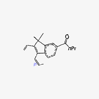 C=CC1=C(/C=C\C)c2ccc(C(=O)CCC)cc2C1(C)C